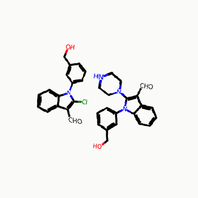 O=Cc1c(Cl)n(-c2cccc(CO)c2)c2ccccc12.O=Cc1c(N2CCNCC2)n(-c2cccc(CO)c2)c2ccccc12